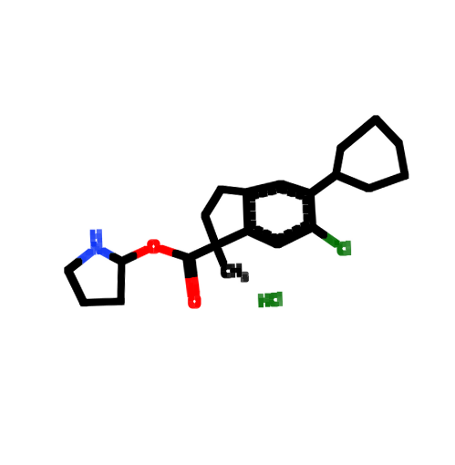 CC1(C(=O)OC2CCCN2)CCc2cc(C3CCCCC3)c(Cl)cc21.Cl